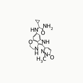 Cn1nc(-c2[nH]c3cc(N[C@H](C(N)=O)C4CC4)cc4c3c2NCCO4)ccc1=O